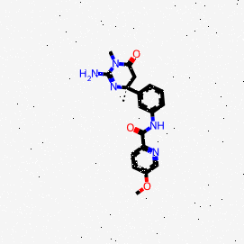 COc1ccc(C(=O)Nc2cccc([C@]3(C)CC(=O)N(C)C(N)=N3)c2)nc1